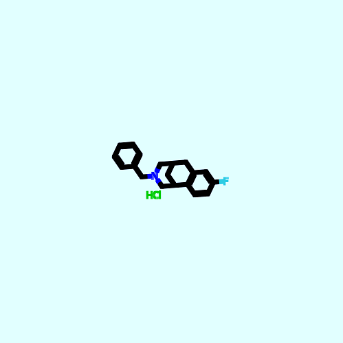 Cl.Fc1ccc2c(c1)CC1CC2CN(Cc2ccccc2)C1